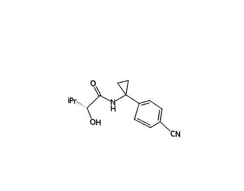 CC(C)[C@@H](O)C(=O)NC1(c2ccc(C#N)cc2)CC1